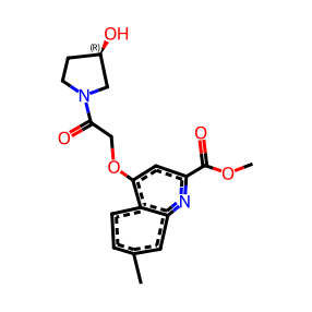 COC(=O)c1cc(OCC(=O)N2CC[C@@H](O)C2)c2ccc(C)cc2n1